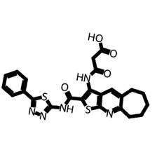 O=C(O)CC(=O)Nc1c(C(=O)Nc2nnc(-c3ccccc3)s2)sc2nc3c(cc12)CCCCC3